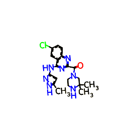 Cc1cc(Nc2nc(C(=O)N3CCNC(C)(C)C3)nc3ccc(Cl)cc23)n[nH]1